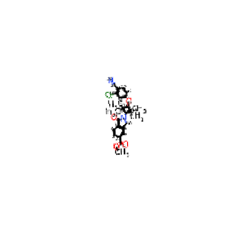 COC(=O)c1ccc2c(c1)CN(C1C(C)(C)C(Oc3ccc(C#N)c(Cl)c3)C1(C)C)C2=O